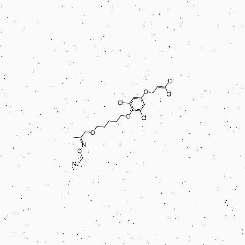 CC(COCCCCCOc1c(Cl)cc(OCC=C(Cl)Cl)cc1Cl)=NOCC#N